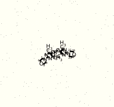 Cc1nc(N2CCOCC2)nc(C)c1OBOc1c(C)nc(N2CCOCC2)nc1C